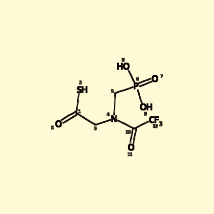 O=C(S)CN(CP(=O)(O)O)C(=O)C(F)(F)F